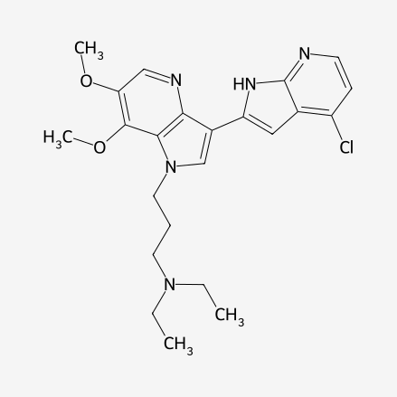 CCN(CC)CCCn1cc(-c2cc3c(Cl)ccnc3[nH]2)c2ncc(OC)c(OC)c21